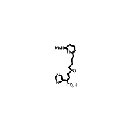 CNc1cccc(CCCCC(=O)CCC(C(=O)O)c2cncnc2)n1